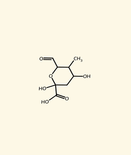 CC1C(O)CC(O)(C(=O)O)OC1C=O